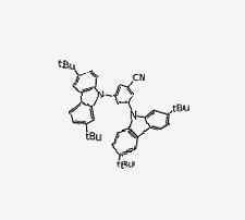 CC(C)(C)c1ccc2c(c1)c1ccc(C(C)(C)C)cc1n2-c1cc(C#N)cc(-n2c3ccc(C(C)(C)C)cc3c3ccc(C(C)(C)C)cc32)c1